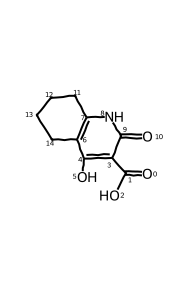 O=C(O)c1c(O)c2c([nH]c1=O)CCCC2